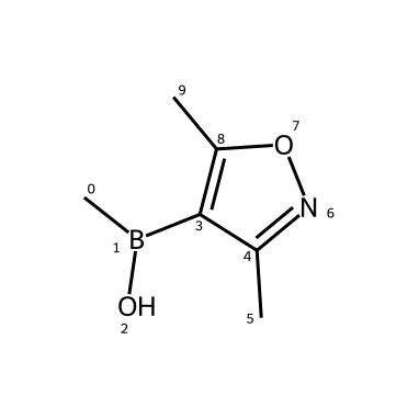 CB(O)c1c(C)noc1C